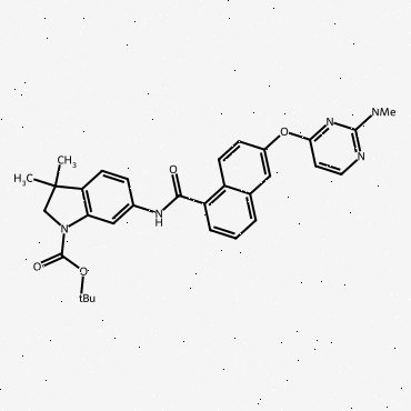 CNc1nccc(Oc2ccc3c(C(=O)Nc4ccc5c(c4)N(C(=O)OC(C)(C)C)CC5(C)C)cccc3c2)n1